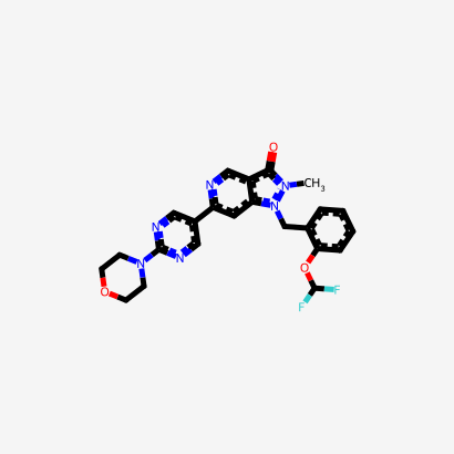 Cn1c(=O)c2cnc(-c3cnc(N4CCOCC4)nc3)cc2n1Cc1ccccc1OC(F)F